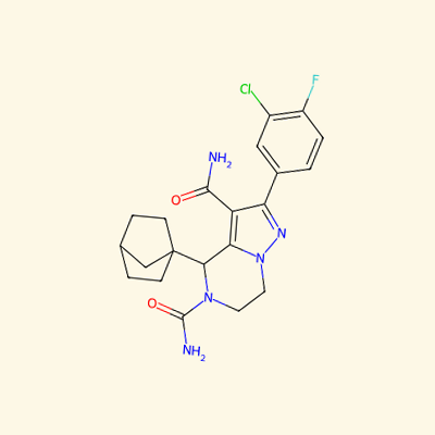 NC(=O)c1c(-c2ccc(F)c(Cl)c2)nn2c1C(C13CCC(CC1)C3)N(C(N)=O)CC2